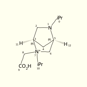 CC(C)N1C[C@H]2C[C@@H]1C[N+]2(CC(=O)O)C(C)C